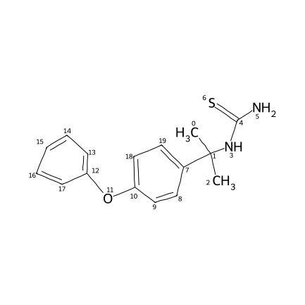 CC(C)(NC(N)=S)c1ccc(Oc2ccccc2)cc1